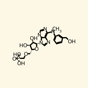 CN(c1cccc(CO)c1)c1ncnc2c1ncn2[C@@H]1O[C@H](COCP(=O)(O)O)[C@@H](O)[C@H]1O